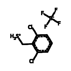 F[B-](F)(F)F.[SH2+]Cc1c(Cl)cccc1Cl